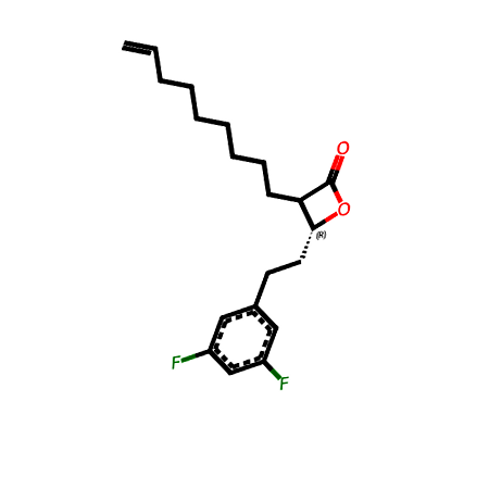 C=CCCCCCCCC1C(=O)O[C@@H]1CCc1cc(F)cc(F)c1